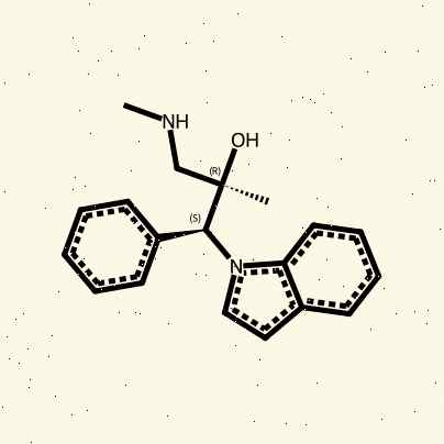 CNC[C@@](C)(O)[C@H](c1ccccc1)n1ccc2ccccc21